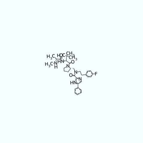 CN[C@@H](C)C(=O)N[C@H](C(=O)N1CCC[C@H]1CN(CCc1ccc(F)cc1)C(=O)c1ncc(-c2ccccc2)[nH]1)C(C)(C)C